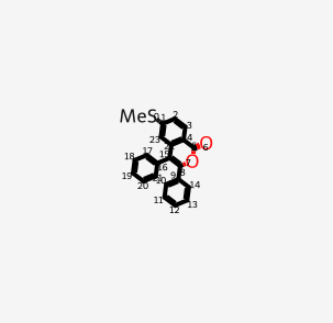 CSc1ccc2c(=O)oc(-c3ccccc3)c(-c3ccccc3)c2c1